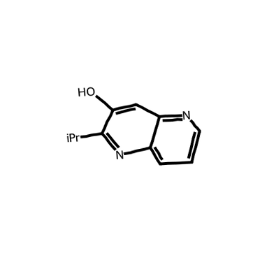 CC(C)c1nc2cccnc2cc1O